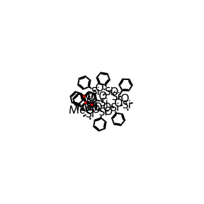 CO[Si]1(c2ccccc2)O[Si]2(c3ccccc3)O[Si](O[Si](C)(C)C)(c3ccccc3)O[Si](c3ccccc3)(O1)O[Si]1(c3ccccc3)O[Si](OC)(c3ccccc3)O[Si](c3ccccc3)(O[Si](O[Si](C)(C)C)(c3ccccc3)O1)O2